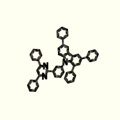 c1ccc(-c2ccc3c(c2)c2cc(-c4ccccc4)cc(-c4ccccc4)c2n3-c2cccc(-c3nc(-c4ccccc4)cc(-c4ccccc4)n3)c2)cc1